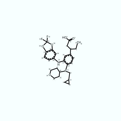 CCC(CC(=O)O)c1ccc(N(CC2CC2)C2CCOCC2)c(Nc2ccc3c(c2)OC(F)(F)O3)c1